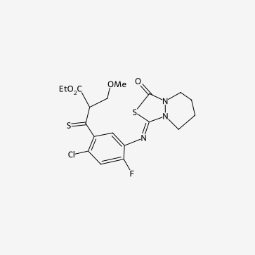 CCOC(=O)C(COC)C(=S)c1cc(N=c2sc(=O)n3n2CCCC3)c(F)cc1Cl